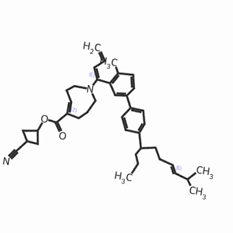 C=C/C=C(\c1cc(-c2ccc(C(CCC)CC/C=C/C(C)C)cc2)ccc1C)N1CC/C=C(\C(=O)OC2CC(C#N)C2)CCC1